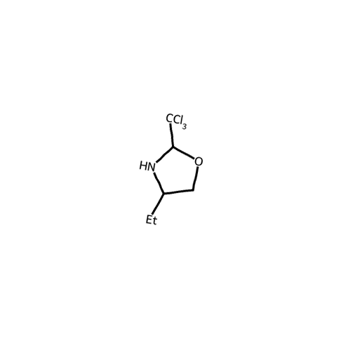 CCC1COC(C(Cl)(Cl)Cl)N1